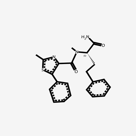 Cc1nc(C(=O)N(C)[C@@H](CCc2ccccc2)C(N)=O)c(-c2ccccc2)s1